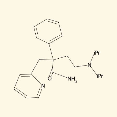 CC(C)N(CCC(Cc1ccccn1)(C(N)=O)c1ccccc1)C(C)C